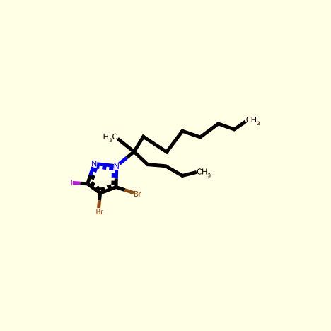 CCCCCCCC(C)(CCCC)n1nc(I)c(Br)c1Br